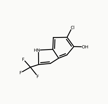 Oc1cc2cc(C(F)(F)F)[nH]c2cc1Cl